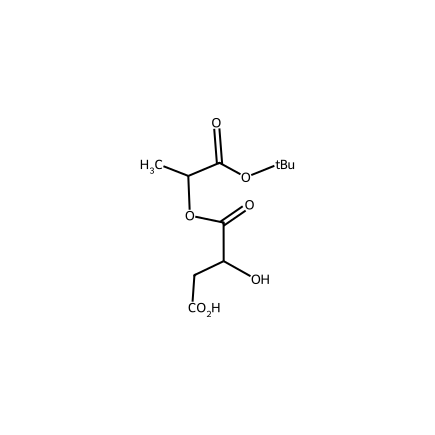 CC(OC(=O)C(O)CC(=O)O)C(=O)OC(C)(C)C